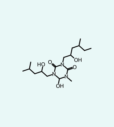 CCC(C)CC(O)CN1C(=O)N(C)C(O)N(CC(O)CC(C)C)C1=O